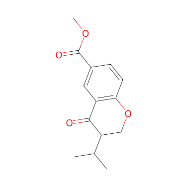 COC(=O)c1ccc2c(c1)C(=O)C(C(C)C)CO2